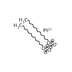 CCCCCCCCCCCCOS(=O)(=O)[O-].CCCCCCCCCCCCOS(=O)(=O)[O-].[Pt+2]